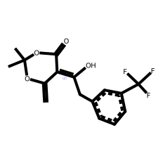 C=C1OC(C)(C)OC(=O)/C1=C(\O)Cc1cccc(C(F)(F)F)c1